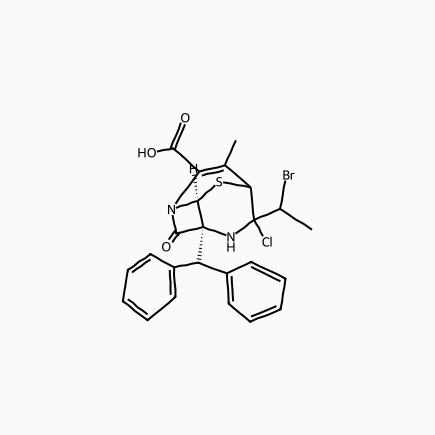 CC1=C(C(=O)O)N2C(=O)[C@]3(C(c4ccccc4)c4ccccc4)NC(Cl)(C(C)Br)C1S[C@H]23